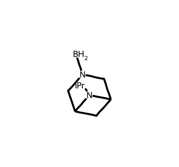 BN1CC2CC(C1)N2C(C)C